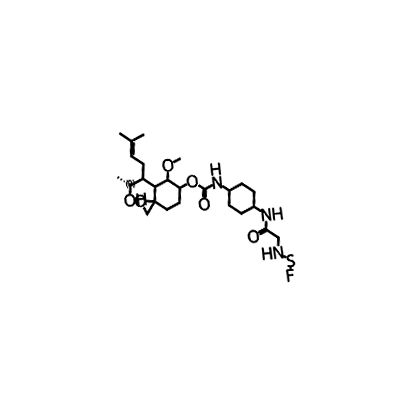 COC1C(OC(=O)NC2CCC(NC(=O)CNSF)CC2)CCC2(CO2)C1C(CC=C(C)C)[C@@H](C)O